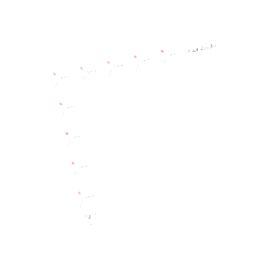 [Mg+2].[Mg+2].[Nb+5].[Nb+5].[O]=[Ti]([O-])[O-].[O]=[Ti]([O-])[O-].[O]=[Ti]([O-])[O-].[O]=[Ti]([O-])[O-].[O]=[Ti]([O-])[O-].[O]=[Ti]([O-])[O-].[O]=[Ti]([O-])[O-].[O]=[Ti]([O-])[O-].[O]=[Ti]([O-])[O-].[Pb+2].[Pb+2]